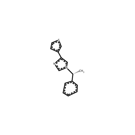 C[C@H](c1ccccc1)n1cnc(-c2ccsc2)c1